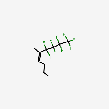 CCCC=C(C)C(F)(F)C(F)(F)C(F)(F)C(F)(F)F